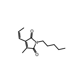 C/C=C\C1=C(C)C(=O)N(CCCCC)C1=O